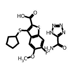 COc1cc2c(SC3CCCC3)c(C(=O)O)sc2cc1F.NC(=O)c1nnn[nH]1